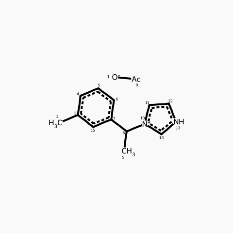 CC(=O)[O-].Cc1cccc(C(C)[n+]2cc[nH]c2)c1